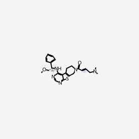 COC[C@@H](Nc1ncnc2sc3c(c12)CCN(C(=O)/C=C/CN(C)C)C3)c1ccccc1